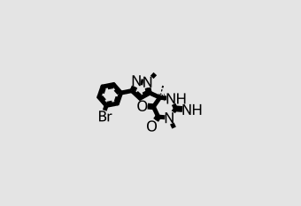 CN1C(=N)N[C@](C)(c2cc(-c3cccc(Br)c3)nn2C)C(=O)C1=O